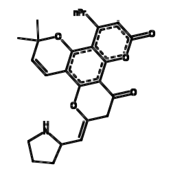 CCCc1[c]c(=O)oc2c3c(c4c(c12)OC(C)(C)C=C4)OC(=CC1CCCN1)CC3=O